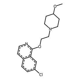 COC1CCN(CCOc2nccc3ccc(Cl)cc23)CC1